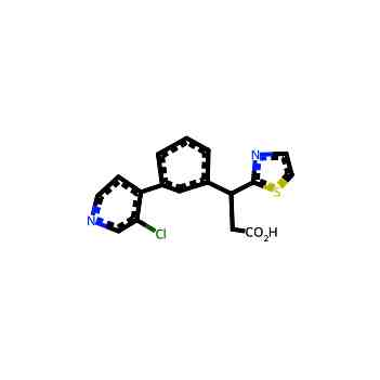 O=C(O)CC(c1cccc(-c2ccncc2Cl)c1)c1nccs1